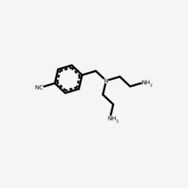 N#Cc1ccc(CN(CCN)CCN)cc1